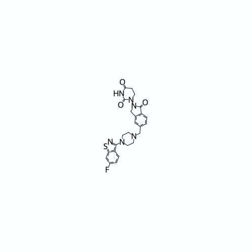 O=C1CCN(N2Cc3cc(CN4CCN(c5nsc6cc(F)ccc56)CC4)ccc3C2=O)C(=O)N1